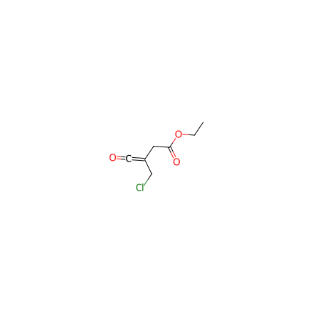 CCOC(=O)CC(=C=O)CCl